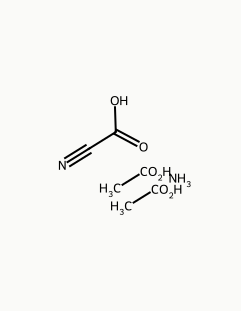 CC(=O)O.CC(=O)O.N.N#CC(=O)O